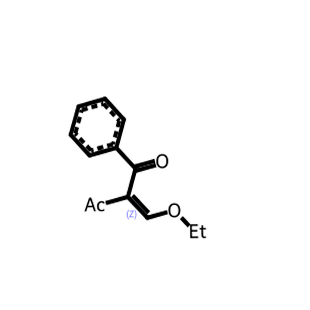 CCO/C=C(/C(C)=O)C(=O)c1ccccc1